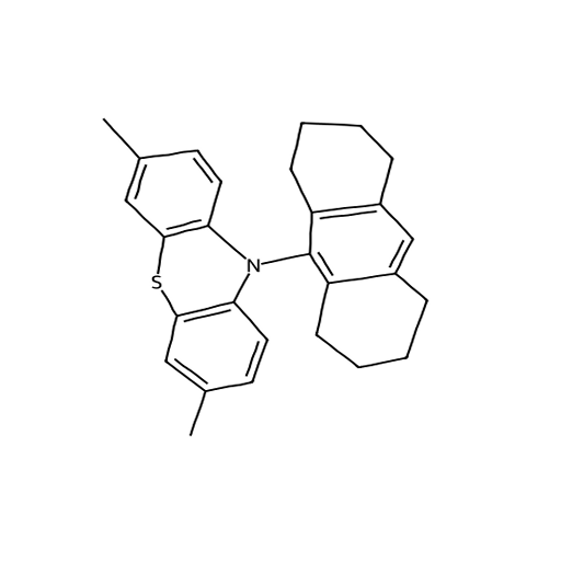 Cc1ccc2c(c1)Sc1cc(C)ccc1N2c1c2c(cc3c1CCCC3)CCCC2